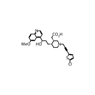 COc1ccc2nccc([C@H](O)CC[C@@H]3CCN(CC#Cc4ccc(Cl)s4)C[C@@H]3CC(=O)O)c2c1